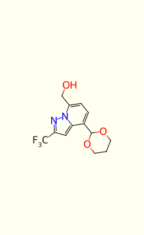 OCc1ccc(C2OCCCO2)c2cc(C(F)(F)F)nn12